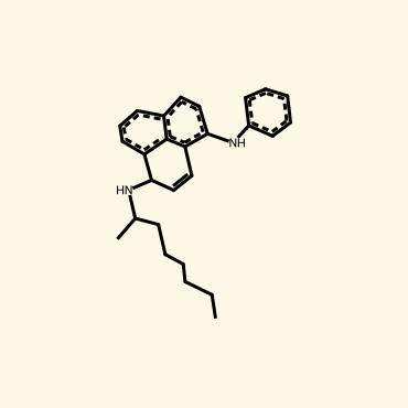 CCCCCCC(C)NC1C=Cc2c(Nc3ccccc3)ccc3cccc1c23